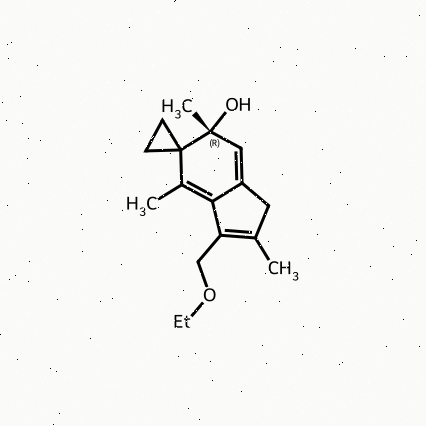 CCOCC1=C(C)CC2=C[C@@](C)(O)C3(CC3)C(C)=C21